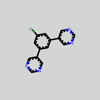 Clc1cc(-c2cncnc2)cc(-c2cncnc2)c1